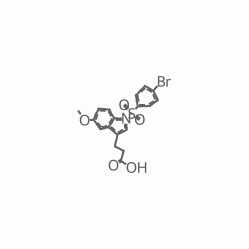 COc1ccc2c(c1)c(CCC(=O)O)cn2S(=O)(=O)c1ccc(Br)cc1